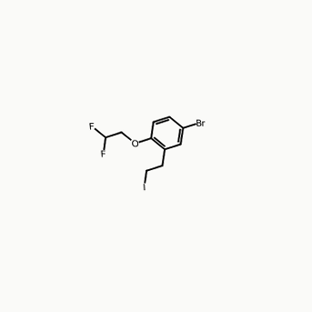 FC(F)COc1ccc(Br)cc1CCI